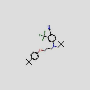 CC(C)(C)CN(CCCOc1ccc(C(C)(C)C)cc1)c1ccc(C#N)c(C(F)(F)F)c1